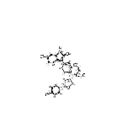 O=C(O)/C=C\C(=O)O.O=c1[nH]c2cc(Cl)ccc2n1C1CCN(C[C@@H]2CO[C@H](c3ccc(F)cc3)C2)CC1